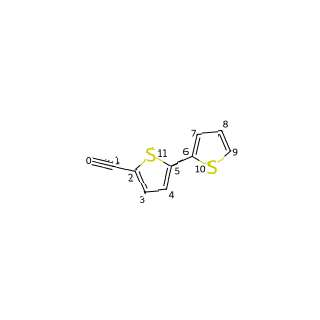 C#Cc1ccc(-c2cccs2)s1